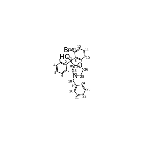 OC(c1ccccc1)(c1ccccc1Br)[C@@H]1CN(Cc2ccccc2)CCO1